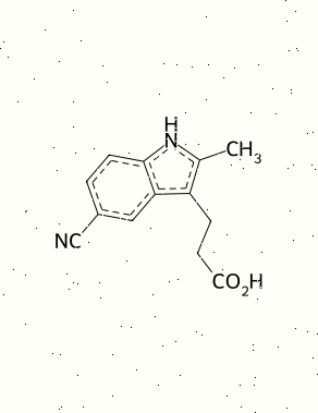 Cc1[nH]c2ccc(C#N)cc2c1CCC(=O)O